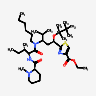 CCCCCCN(C(=O)[C@@H](NC(=O)[C@H]1CCCCN1C)[C@@H](C)CC)[C@H](C[C@@H](O[Si](C)(C)C(C)(C)C)c1nc(C(=O)OCC)cs1)C(C)C